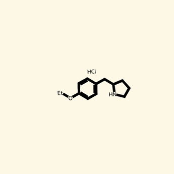 CCOc1ccc(CC2CCCN2)cc1.Cl